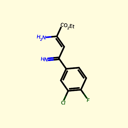 CCOC(=O)/C(N)=C/C(=N)c1ccc(F)c(Cl)c1